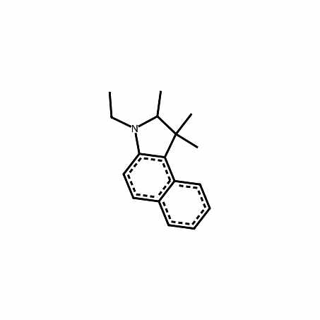 CCN1c2ccc3ccccc3c2C(C)(C)C1C